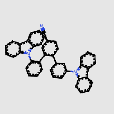 N#Cc1ccc(-c2cccc(-n3c4ccccc4c4ccccc43)c2)c(-c2ccccc2-n2c3ccccc3c3ccccc32)c1